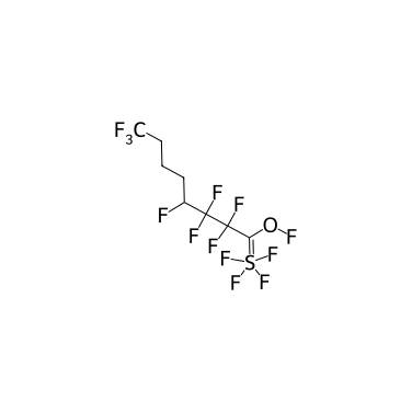 FOC(C(F)(F)C(F)(F)C(F)CCCC(F)(F)F)=S(F)(F)(F)F